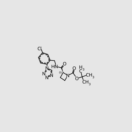 CC(C)(C)OC(=O)N1CC[C@H]1C(=O)NCc1cc(Cl)ccc1-n1cnnn1